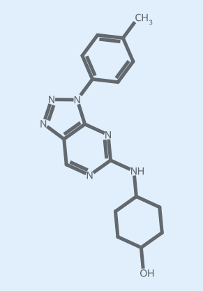 Cc1ccc(-n2nnc3cnc(NC4CCC(O)CC4)nc32)cc1